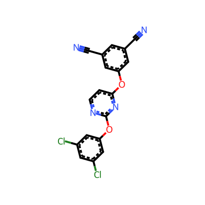 N#Cc1cc(C#N)cc(Oc2ccnc(Oc3cc(Cl)cc(Cl)c3)n2)c1